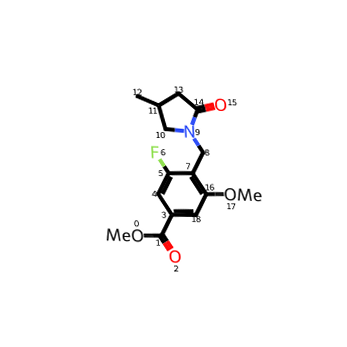 COC(=O)c1cc(F)c(CN2CC(C)CC2=O)c(OC)c1